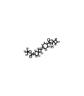 CC1(NC(=O)C2CCN(C3CC4(CCN(C(=O)OC(C)(C)C)C4)C3)CC2)CCC1